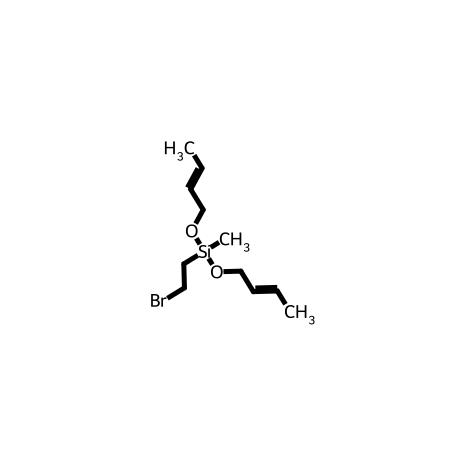 CC=CCO[Si](C)(CCBr)OCC=CC